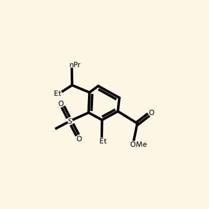 CCCC(CC)c1ccc(C(=O)OC)c(CC)c1S(C)(=O)=O